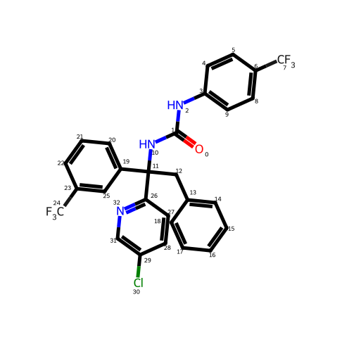 O=C(Nc1ccc(C(F)(F)F)cc1)NC(Cc1ccccc1)(c1cccc(C(F)(F)F)c1)c1ccc(Cl)cn1